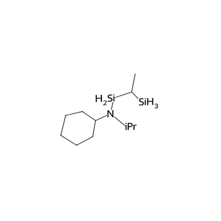 CC([SiH3])[SiH2]N(C(C)C)C1CCCCC1